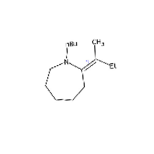 CCCCN1CCCCC/C1=C(/C)CC